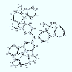 CC1(C)c2ccccc2-c2ccc(N(c3ccc4c(c3)-c3ccccc3C43c4ccccc4Oc4ccccc43)c3ccc4c(c3)-c3ccccc3C43c4ccccc4Sc4ccccc43)cc21